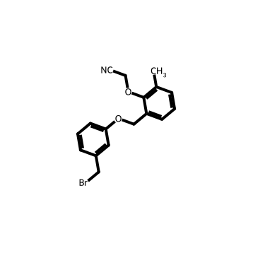 Cc1cccc(COc2cccc(CBr)c2)c1OCC#N